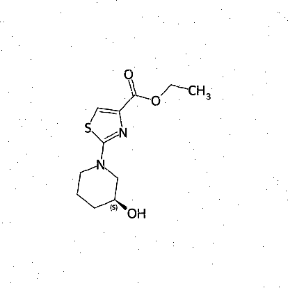 CCOC(=O)c1csc(N2CCC[C@H](O)C2)n1